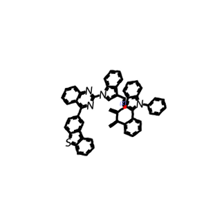 C=C(/C=C\c1cn(-c2nc(-c3ccc4sc5ccccc5c4c3)c3ccccc3n2)c2ccccc12)C(=C)c1ccccc1-c1cc2ccccc2n1-c1ccccc1